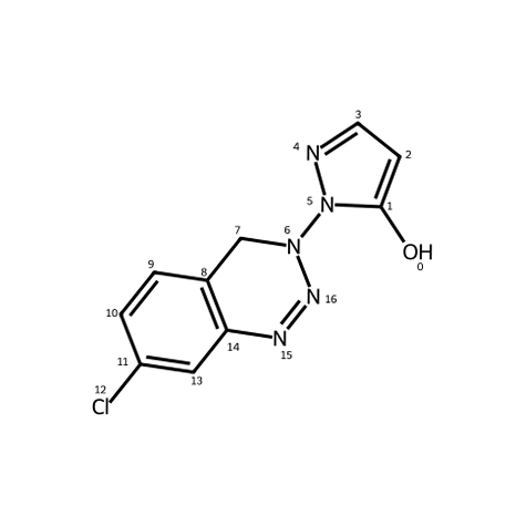 Oc1ccnn1N1Cc2ccc(Cl)cc2N=N1